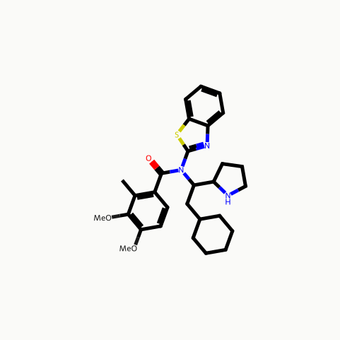 COc1ccc(C(=O)N(c2nc3ccccc3s2)C(CC2CCCCC2)C2CCCN2)c(C)c1OC